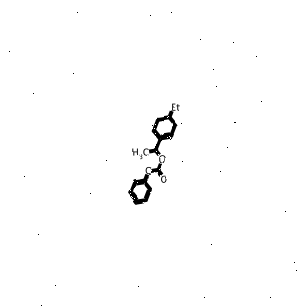 CCC1CC=C(C(C)OC(=O)Oc2ccccc2)CC1